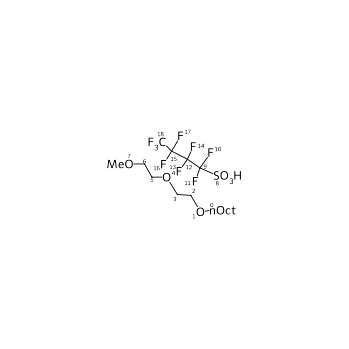 CCCCCCCCOCCOCCOC.O=S(=O)(O)C(F)(F)C(F)(F)C(F)(F)C(F)(F)F